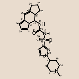 CN1CCC(n2ccc(S(=O)(=O)NC(=O)NC3C4C=CC=C4C=C4CCCC43)n2)CC1